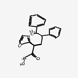 CC(c1ccccc1)C(CC(C(=O)NO)c1ncco1)c1ccccc1